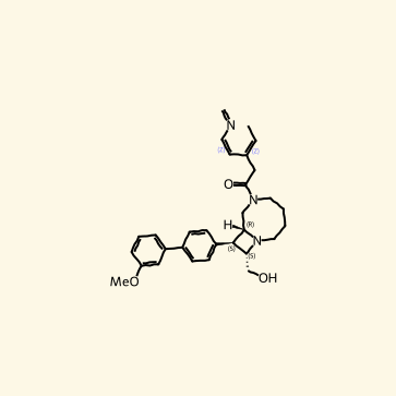 C=N/C=C\C(=C/C)CC(=O)N1CCCCN2[C@H](CO)[C@@H](c3ccc(-c4cccc(OC)c4)cc3)[C@@H]2C1